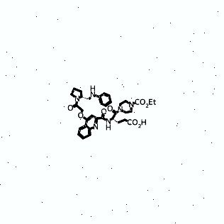 CCOC(=O)N1CCN(C(=O)[C@H](CCC(=O)O)NC(=O)c2cc(OCC(=O)N3CCC[C@@H]3CNc3ccccc3)c3ccccc3n2)CC1